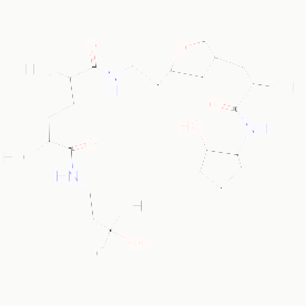 CC(CCC(C)C(=O)NCCC(C)(C)O)C(=O)NCCC1CC(CC(C)C(=O)NC2CCCC2O)CO1